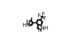 Cc1n[nH]cc1-c1cc(C(F)(F)F)cc2[nH]ncc12